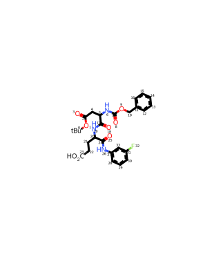 CC(C)(C)OC(=O)CC(NC(=O)OCc1ccccc1)C(=O)NC(CCC(=O)O)C(=O)Nc1cccc(F)c1